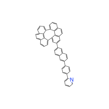 c1ccc(-c2ccc(-c3ccc4cc(-c5cc6ccc7cccc8c9cccc%10ccc%11cccc(c(c5)c6c78)c%11c%109)ccc4c3)cc2)nc1